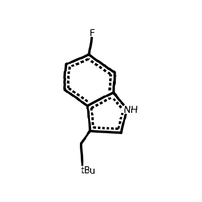 CC(C)(C)Cc1c[nH]c2cc(F)ccc12